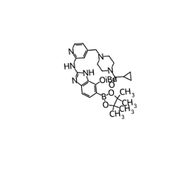 CC(C)COc1c(B2OC(C)(C)C(C)(C)O2)ccc2nc(Nc3cc(CN4CCN(C(=O)C5CC5)CC4)ccn3)[nH]c12